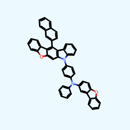 c1ccc(N(c2ccc(-n3c4ccccc4c4c(-c5ccc6ccccc6c5)c5c(cc43)oc3ccccc35)cc2)c2ccc3oc4ccccc4c3c2)cc1